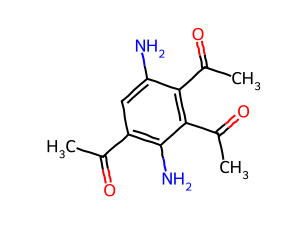 CC(=O)c1cc(N)c(C(C)=O)c(C(C)=O)c1N